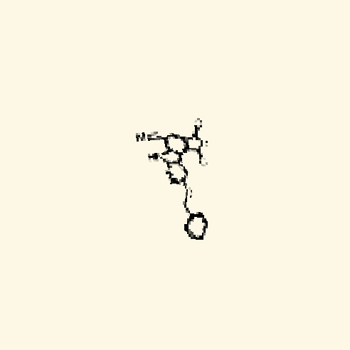 CSc1cc2c(c3c1[nH]c1ccc(OCc4ccccc4)cc13)C(=O)OC2=O